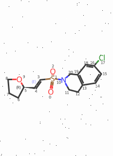 O=S(=O)(/C=C/[C@H]1CCCO1)N1CCc2ccc(Cl)cc2C1